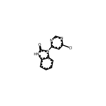 O=c1[nH]c2ccccc2n1-c1cc(Cl)ncn1